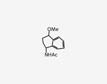 COC1CCC(NC(C)=O)c2ccccc21